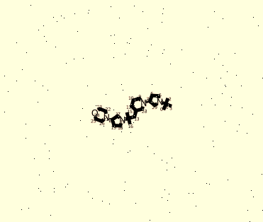 CC(C)(C)N1CC[C@H](N2CCCC(CC(C)(C)N3CC[C@H](N4CCOCC4)C3)C2)C1